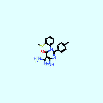 CSc1ccccc1-n1c(-c2ccc(C)cc2)nc2[nH]nc(N)c2c1=O